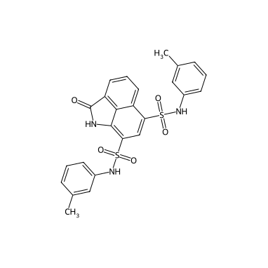 Cc1cccc(NS(=O)(=O)c2cc(S(=O)(=O)Nc3cccc(C)c3)c3cccc4c3c2NC4=O)c1